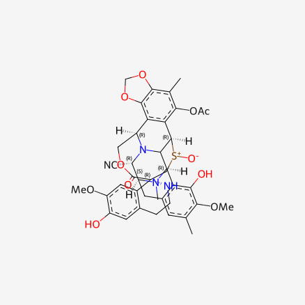 COc1cc2c(cc1O)CCN[C@]21C[S+]([O-])[C@@H]2c3c(OC(C)=O)c(C)c4c(c3[C@H](COC1=O)N1C2[C@H]2c3c(cc(C)c(OC)c3O)C[C@@H]([C@@H]1C#N)N2C)OCO4